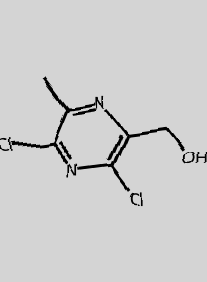 Cc1nc(CO)c(Cl)nc1Cl